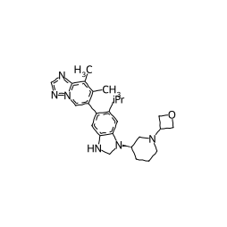 Cc1c(-c2cc3c(cc2C(C)C)N([C@@H]2CCCN(C4COC4)C2)CN3)cn2ncnc2c1C